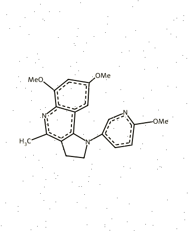 COc1cc(OC)c2nc(C)c3c(c2c1)N(c1ccc(OC)nc1)CC3